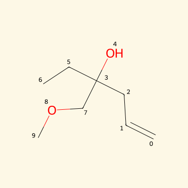 C=CCC(O)(CC)COC